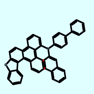 c1ccc(-c2ccc(N(c3ccc4ccccc4c3)c3cccc4c5ccc6oc7ccccc7c6c5c5ccccc5c34)cc2)cc1